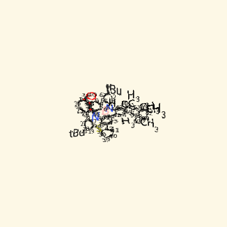 CC(C)(C)c1ccc(N2B3c4cc5occc5cc4N(c4ccc(C(C)(C)C)cc4-c4ccccc4)c4c3c(cc3c4sc4ccccc43)-c3cc4c(cc32)C(C)(C)c2cc3c(cc2-4)C(C)(C)CCC3(C)C)cc1